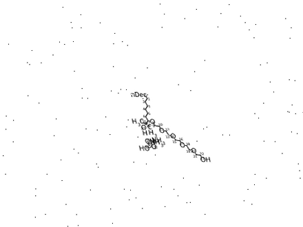 CCCCCCCCCCCCCCCCC(OCCOCCOCCOCCOCCO)C(C)(C)O.N.N.O=S(O)O